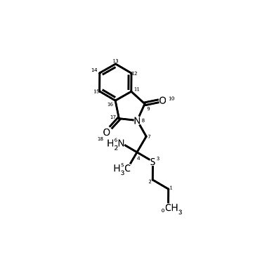 CCCSC(C)(N)CN1C(=O)c2ccccc2C1=O